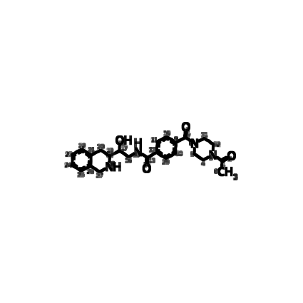 CC(=O)N1CCN(C(=O)c2ccc(C(=O)NCC(O)[C@@H]3Cc4ccccc4CN3)cc2)CC1